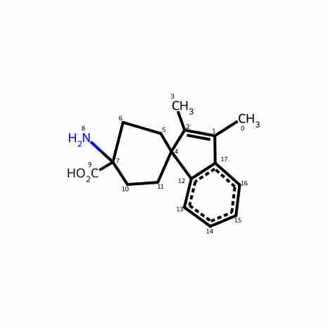 CC1=C(C)C2(CCC(N)(C(=O)O)CC2)c2ccccc21